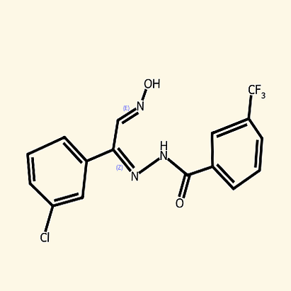 O=C(N/N=C(\C=N\O)c1cccc(Cl)c1)c1cccc(C(F)(F)F)c1